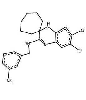 FC(F)(F)c1cccc(CNC2=Nc3cc(Cl)c(Cl)cc3NC23CCCCCC3)c1